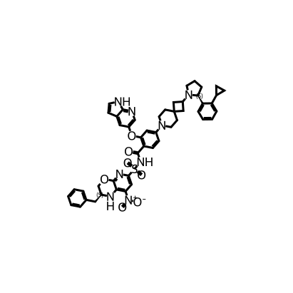 O=C(NS(=O)(=O)c1cc([N+](=O)[O-])c2c(n1)OC[C@H](Cc1ccccc1)N2)c1ccc(N2CCC3(CC2)CC(N2CCC[C@H]2c2ccccc2C2CC2)C3)cc1Oc1cnc2[nH]ccc2c1